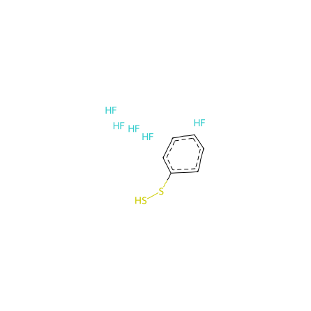 F.F.F.F.F.SSc1ccccc1